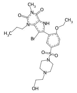 CCCn1c(=O)n(C)c(=O)c2[nH]c(-c3cc(S(=O)(=O)N4CCN(CCO)CC4)ccc3OCC)c(Br)c21